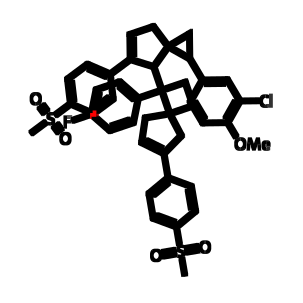 COc1ccc(C2CC23CC=C(c2ccc(S(C)(=O)=O)cc2)C3C2(c3ccc(F)cc3)CCC23CC=C(c2ccc(S(C)(=O)=O)cc2)C3)cc1Cl